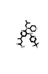 CC(C)CN(c1ncc(C(C)CC(=O)O)cc1Nc1ccc(C(F)(F)F)cn1)C1CCOCC1